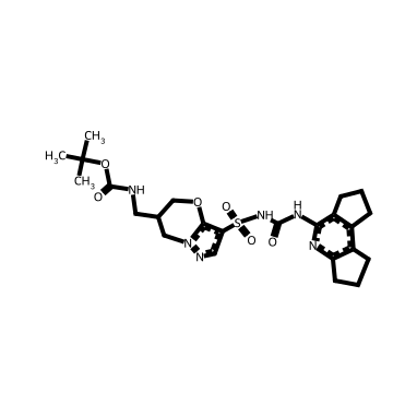 CC(C)(C)OC(=O)NCC1COc2c(S(=O)(=O)NC(=O)Nc3nc4c(c5c3CCC5)CCC4)cnn2C1